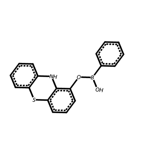 OB(Oc1cccc2c1Nc1ccccc1S2)c1ccccc1